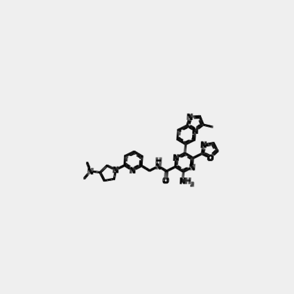 Cc1cnc2ccc(-c3nc(C(=O)NCc4cccc(N5CCC(N(C)C)C5)n4)c(N)nc3-c3ncco3)cn12